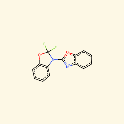 FC1(F)Oc2ccccc2N1c1nc2ccccc2o1